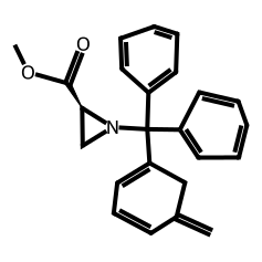 C=C1C=CC=C(C(c2ccccc2)(c2ccccc2)N2C[C@H]2C(=O)OC)C1